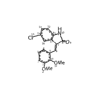 COc1cccc(/C=C2/C(=O)Nc3ccc(Cl)cc32)c1OC